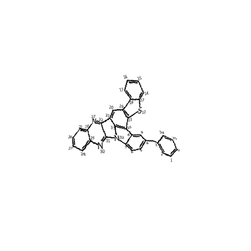 c1ccc(-c2ccc3c(c2)c2c4sc5ccccc5c4cc4c5nc6ccccc6nc5n3c42)cc1